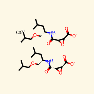 CC(C)COC[C@H](CC(C)C)NC(=O)C1OC1C(=O)[O-].CC(C)COC[C@H](CC(C)C)NC(=O)[C@H]1O[C@@H]1C(=O)[O-].[Ca+2]